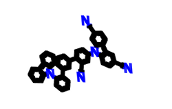 N#Cc1ccc2c(c1)c1ccc(C#N)cc1n2-c1ccc(-c2cccc(-c3ccccc3-n3c4ccccc4c4ccccc43)c2)c(C#N)c1